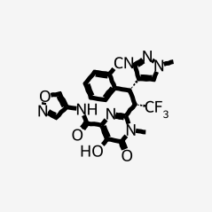 Cn1cc([C@@H](c2ccccc2C#N)[C@@H](c2nc(C(=O)Nc3cnoc3)c(O)c(=O)n2C)C(F)(F)F)cn1